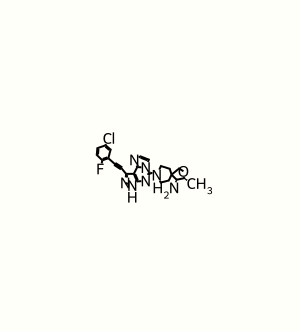 C[C@@H]1OCC2(CCN(c3nc4[nH]nc(C#Cc5cc(Cl)ccc5F)c4c4nccn34)CC2)[C@@H]1N